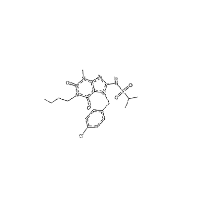 CCCCn1c(=O)c2c(nc(NS(=O)(=O)C(C)C)n2Cc2ccc(Cl)cc2)n(C)c1=O